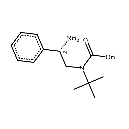 CC(C)(C)N(C[C@@H](N)c1ccccc1)C(=O)O